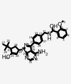 COc1ccccc1C(O)NCc1ccc(-c2nn(C3C=C(O)C(C(C)(C)C)C3)c3ncnc(N)c23)cc1